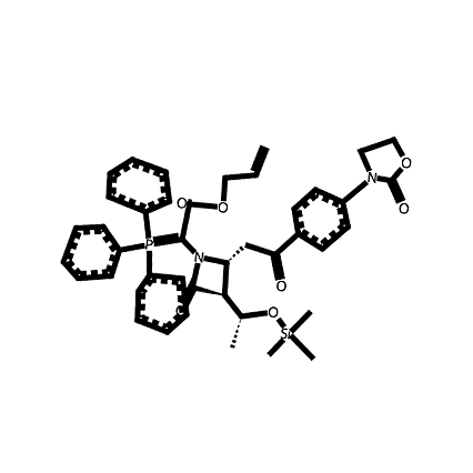 C=CCOC(=O)C(N1C(=O)[C@H]([C@@H](C)O[Si](C)(C)C)[C@H]1CC(=O)c1ccc(N2CCOC2=O)cc1)=P(c1ccccc1)(c1ccccc1)c1ccccc1